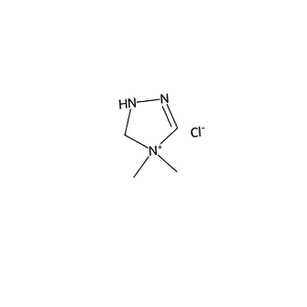 C[N+]1(C)C=NNC1.[Cl-]